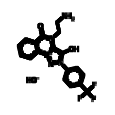 NCCn1c(=O)c2ccccc2[n+]2nn(-c3ccc(C(F)(F)F)cc3)c(O)c12.[OH-]